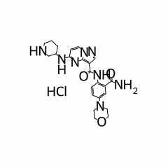 Cl.NC(=O)c1cc(N2CCOCC2)ccc1NC(=O)c1cnn2ccc(N[C@@H]3CCCNC3)nc12